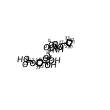 COC(=O)[C@H](CCP(=O)(O)C(O)c1ccc(OCC(=O)O)cc1)NC(=O)OCc1ccccc1